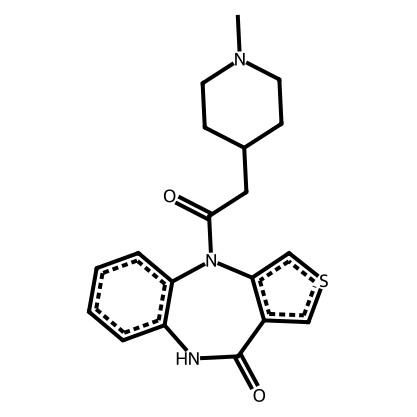 CN1CCC(CC(=O)N2c3ccccc3NC(=O)c3cscc32)CC1